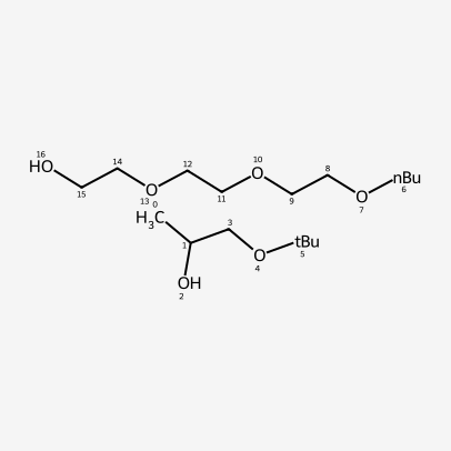 CC(O)COC(C)(C)C.CCCCOCCOCCOCCO